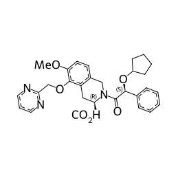 COc1ccc2c(c1OCc1ncccn1)C[C@H](C(=O)O)N(C(=O)[C@@H](OC1CCCC1)c1ccccc1)C2